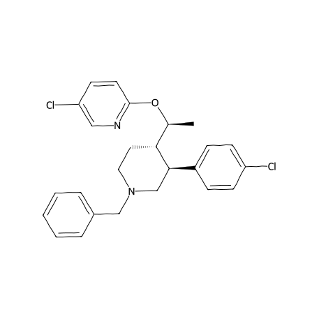 C[C@H](Oc1ccc(Cl)cn1)[C@H]1CCN(Cc2ccccc2)C[C@@H]1c1ccc(Cl)cc1